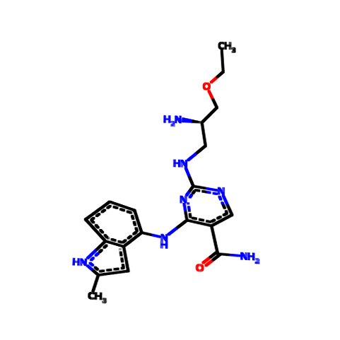 CCOC[C@H](N)CNc1ncc(C(N)=O)c(Nc2cccc3[nH]c(C)cc23)n1